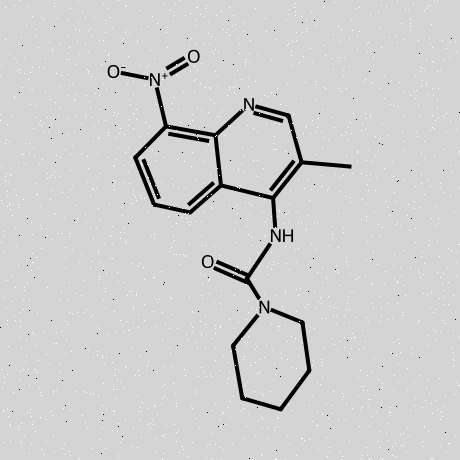 Cc1cnc2c([N+](=O)[O-])cccc2c1NC(=O)N1CCCCC1